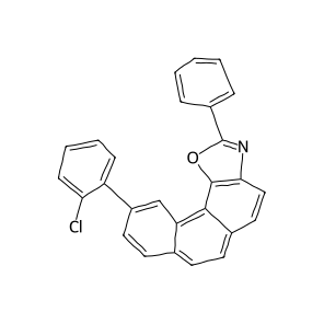 Clc1ccccc1-c1ccc2ccc3ccc4nc(-c5ccccc5)oc4c3c2c1